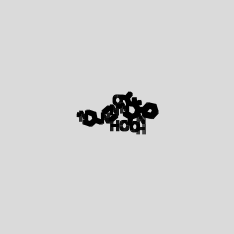 CC(C)C1N(C(=O)N2CCN(CC3CCN(C)CC3)CC2)C=C(C(=O)O)c2[nH]c3ccccc3c2C1(C)C